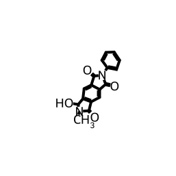 CN1C(=O)c2cc3c(cc2C1O)C(=O)N(c1ccccc1)C3=O